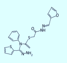 C=C(SCC(=O)N/N=C/c1ccco1)N(/C(=N\N)c1cccs1)c1ccccc1